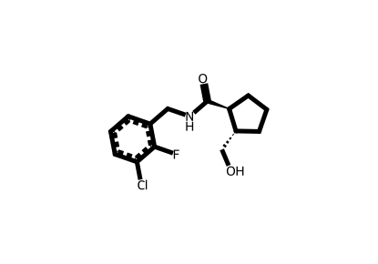 O=C(NCc1cccc(Cl)c1F)[C@H]1CCC[C@@H]1CO